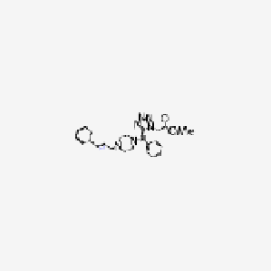 COC(=O)Cn1nnnc1[C@H](c1ccccc1)N1CCN(C/C=C/c2ccccc2)CC1